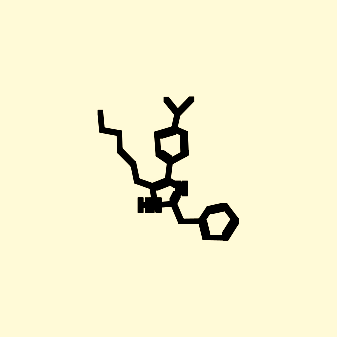 CCCCCCc1[nH]c(Cc2ccccc2)nc1-c1ccc(C(C)C)cc1